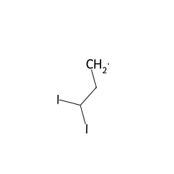 [CH2]CC(I)I